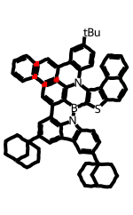 CC(C)(C)c1ccc(N2c3cc(-c4ccccc4)cc4c3B(c3sc5ccc6ccccc6c5c32)n2c3ccc(C56CCCC(CCC5)C6)cc3c3cc(C56CCCC(CCC5)C6)cc-4c32)c(-c2ccccc2)c1